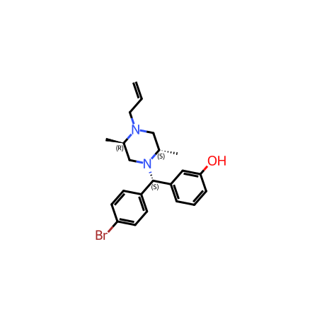 C=CCN1C[C@H](C)N([C@@H](c2ccc(Br)cc2)c2cccc(O)c2)C[C@H]1C